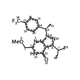 COCc1nc2c(c(C(F)F)nn2[C@H](C)c2ccc(C(F)(F)F)cc2)c(=O)[nH]1